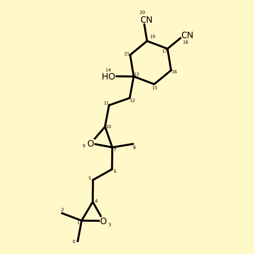 CC1(C)OC1CCC1(C)OC1CCC1(O)CCC(C#N)C(C#N)C1